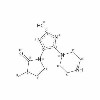 CC1CCN(c2nsnc2N2CCNCC2)C1=O.Cl